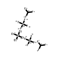 CC[N+](CC)(CC)CC.FC(F)F.FC(F)F.F[B-](F)(F)F.F[B-](F)(F)F